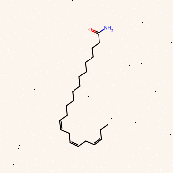 CC/C=C\C/C=C\C/C=C\CCCCCCCCCCCC(N)=O